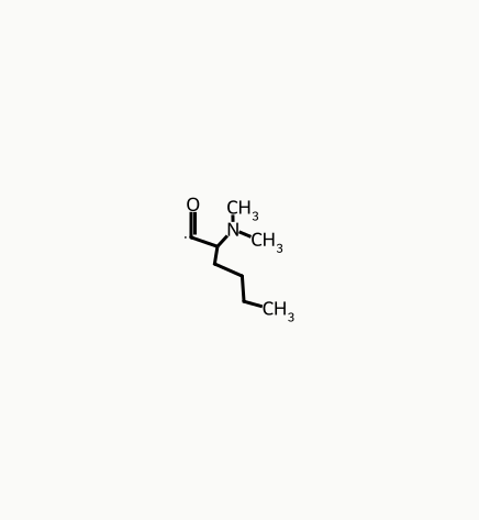 CCCCC([C]=O)N(C)C